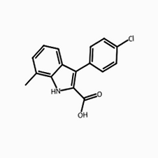 Cc1cccc2c(-c3ccc(Cl)cc3)c(C(=O)O)[nH]c12